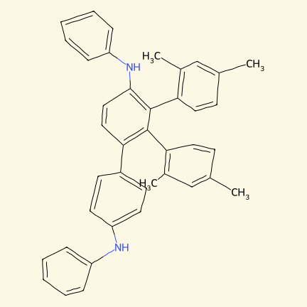 Cc1ccc(-c2c(Nc3ccccc3)ccc(-c3ccc(Nc4ccccc4)cc3)c2-c2ccc(C)cc2C)c(C)c1